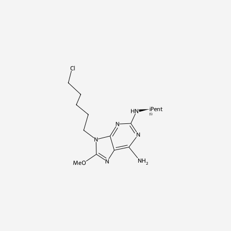 CCC[C@H](C)Nc1nc(N)c2nc(OC)n(CCCCCCl)c2n1